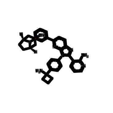 Nc1ncccc1-c1nc2ccc(-c3cccc(N4[C@@H]5CC[C@H]4C[C@@H](O)C5)c3)nc2n1-c1ccc(C2(N)CCC2)cc1